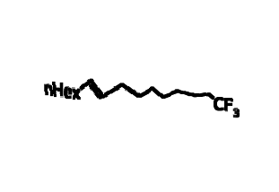 [CH2]CCCCCC=CCCCCCCCC(F)(F)F